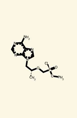 C[C@H](Cn1cnc2c(N)ncnc21)OC[P@@](=O)(Cl)OP